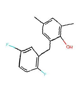 Cc1cc(C)c(O)c(Cc2cc(F)ccc2F)c1